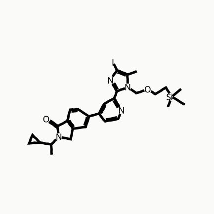 Cc1c(I)nc(-c2cc(-c3ccc4c(c3)CN(C(C)C3CC3)C4=O)ccn2)n1COCC[Si](C)(C)C